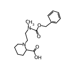 CN(CCN1CCCCC1C(=O)O)C(=O)OCc1ccccc1